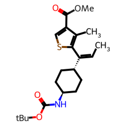 CC=C(c1scc(C(=O)OC)c1C)[C@H]1CC[C@H](NC(=O)OC(C)(C)C)CC1